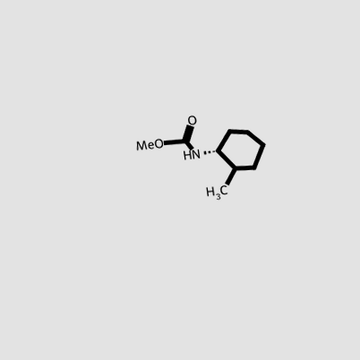 COC(=O)N[C@@H]1CCCCC1C